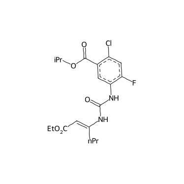 CCCC(=CC(=O)OCC)NC(=O)Nc1cc(C(=O)OC(C)C)c(Cl)cc1F